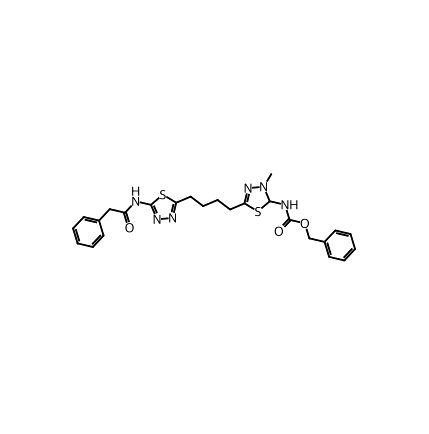 CN1N=C(CCCCc2nnc(NC(=O)Cc3ccccc3)s2)SC1NC(=O)OCc1ccccc1